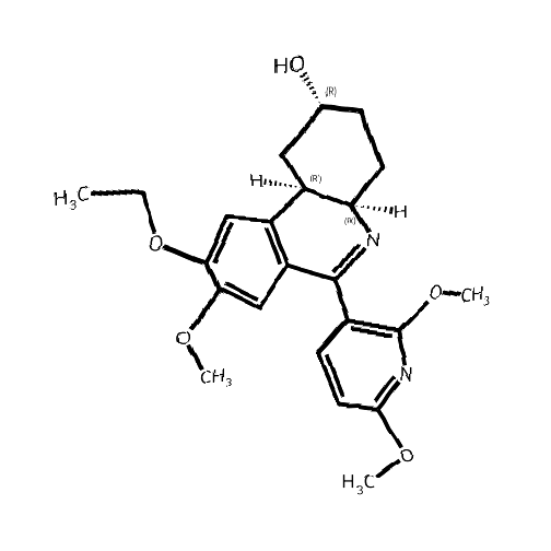 CCOc1cc2c(cc1OC)C(c1ccc(OC)nc1OC)=N[C@@H]1CC[C@@H](O)C[C@H]21